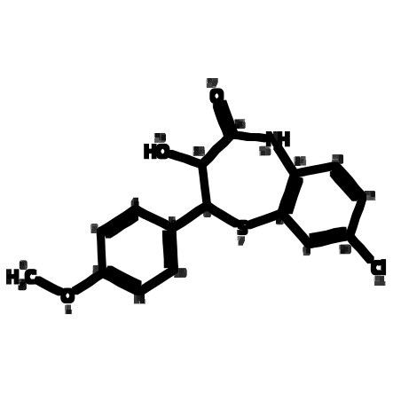 COc1ccc(C2Sc3cc(Cl)ccc3NC(=O)C2O)cc1